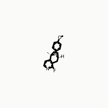 COc1ccc(N2[C@H]3CC[C@]2(C)c2ccnc(F)c2C3)cc1